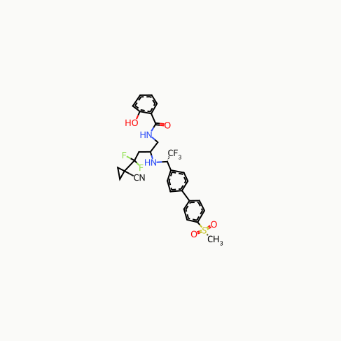 CS(=O)(=O)c1ccc(-c2ccc([C@H](NC(CNC(=O)c3ccccc3O)CC(F)(F)C3(C#N)CC3)C(F)(F)F)cc2)cc1